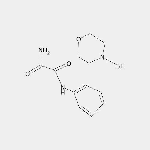 NC(=O)C(=O)Nc1ccccc1.SN1CCOCC1